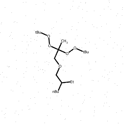 CCCCC(CC)COCC(C)(OOC(C)(C)C)OOC(C)(C)C